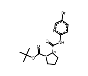 CC(C)(C)OC(=O)N1CCC[C@H]1C(=O)Nc1ccc(Br)cn1